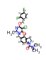 Cc1nc(OCc2ccc(F)cc2F)c(Cl)c(=O)n1Cc1ccc2c(c1)CCN2C(=O)N(C)C